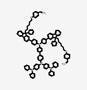 C=Cc1ccc(OCCCCCCC2(c3ccccc3)c3ccccc3-c3ccc(-c4ccc(N(c5ccc(-c6ccc(N(c7ccc(N(c8ccccc8)c8ccccc8)cc7)c7ccc(N(c8ccccc8)c8ccccc8)cc7)cc6)cc5)c5ccc(-c6ccc7c(c6)C(CCCCCCOc6ccc(C=C)cc6)(c6ccccc6)c6ccccc6-7)cc5)cc4)cc32)cc1